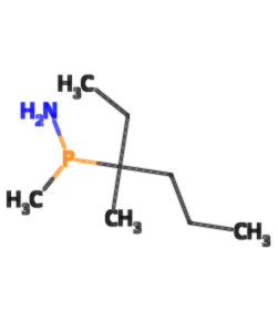 CCCC(C)(CC)P(C)N